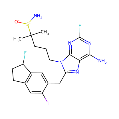 CC(C)(CCCn1c(Cc2cc3c(cc2I)CCC3F)nc2c(N)nc(F)nc21)[S+](N)[O-]